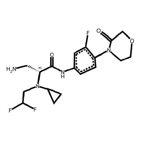 NC[C@H](C(=O)Nc1ccc(N2CCOCC2=O)c(F)c1)N(CC(F)F)C1CC1